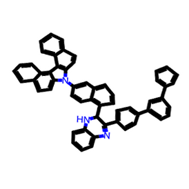 c1ccc(-c2cccc(-c3ccc(C4=Nc5ccccc5NC4c4cccc5cc(-n6c7ccc8ccccc8c7c7c8ccccc8ccc76)ccc45)cc3)c2)cc1